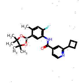 Cc1cc(F)c(NC(=O)c2ccnc(C3CCC3)c2)cc1B1OC(C)(C)C(C)(C)O1